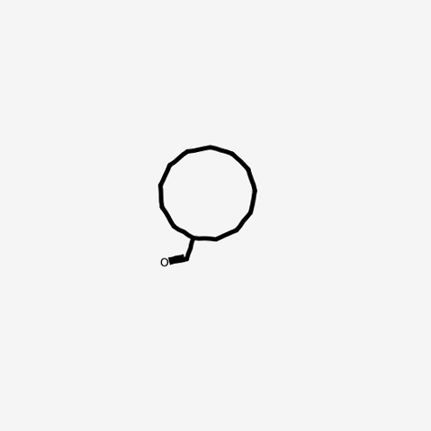 O=CC1CCCCCCCCCCCC1